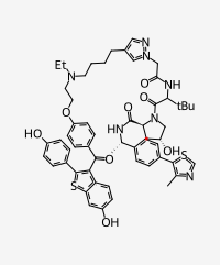 CCN(CCCCc1cnn(CC(=O)NC(C(=O)N2C[C@H](O)C[C@H]2C(=O)N[C@@H](C)c2ccc(-c3scnc3C)cc2)C(C)(C)C)c1)CCOc1ccc(C(=O)c2c(-c3ccc(O)cc3)sc3cc(O)ccc23)cc1